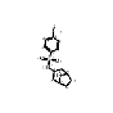 Cc1ccc(S(=O)(=O)NC2CC3CCC(C2)N3)cc1